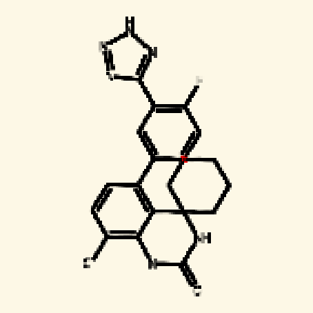 O=C1Nc2c(Cl)ccc(-c3ccc(F)c(-c4nn[nH]n4)c3)c2C2(CCCCC2)N1